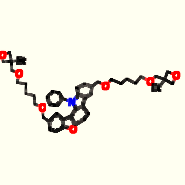 CCC1(COCCCCCOCc2ccc3oc4ccc5c6cc(COCCCCCOCC7(CC)COC7)ccc6n(-c6ccccc6)c5c4c3c2)COC1